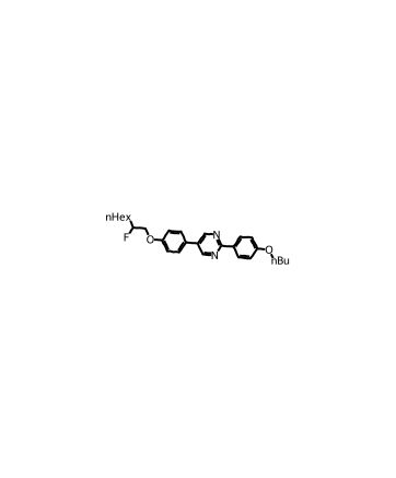 CCCCCCC(F)COc1ccc(-c2cnc(-c3ccc(OCCCC)cc3)nc2)cc1